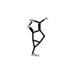 CCCCCC1C2Cc3c(n[nH]c3C(C)=O)C12